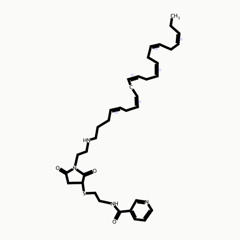 CC/C=C\C/C=C\C/C=C\C/C=C\C/C=C\C/C=C\CCCNCCN1C(=O)CC(SCCNC(=O)c2cccnc2)C1=O